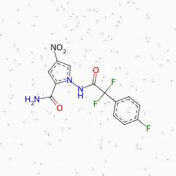 NC(=O)c1cc([N+](=O)[O-])cn1NC(=O)C(F)(F)c1ccc(F)cc1